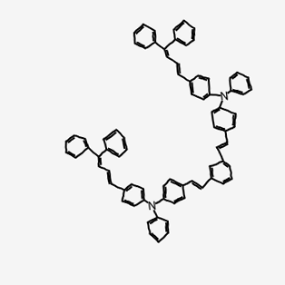 C(/C=C/c1ccc(N(c2ccccc2)c2ccc(/C=C/c3cccc(/C=C/c4ccc(N(c5ccccc5)c5ccc(/C=C/C=C(c6ccccc6)c6ccccc6)cc5)cc4)c3)cc2)cc1)=C(c1ccccc1)c1ccccc1